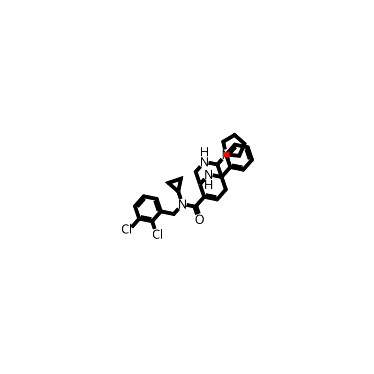 O=C(C1=CCC2(c3ccccc3)NC1CNC2N1CCCC1)N(Cc1cccc(Cl)c1Cl)C1CC1